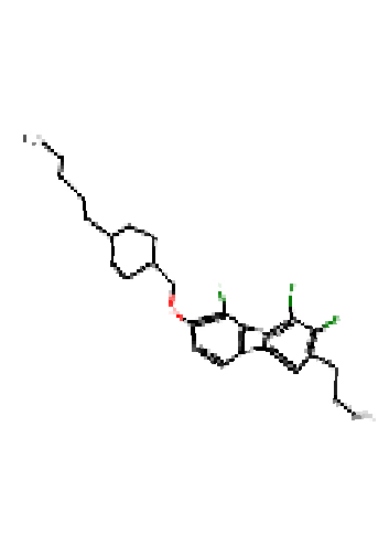 CCCCCC1CCC(COc2ccc3c(c2F)-c2c-3cc(CCC)c(F)c2F)CC1